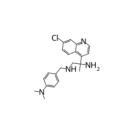 CN(C)c1ccc(CNCC(C)(N)c2ccnc3cc(Cl)ccc23)cc1